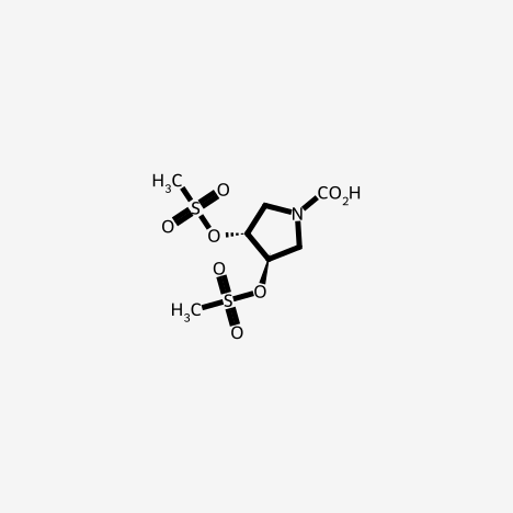 CS(=O)(=O)O[C@@H]1CN(C(=O)O)C[C@H]1OS(C)(=O)=O